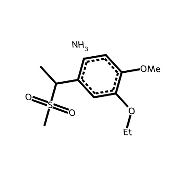 CCOc1cc(C(C)S(C)(=O)=O)ccc1OC.N